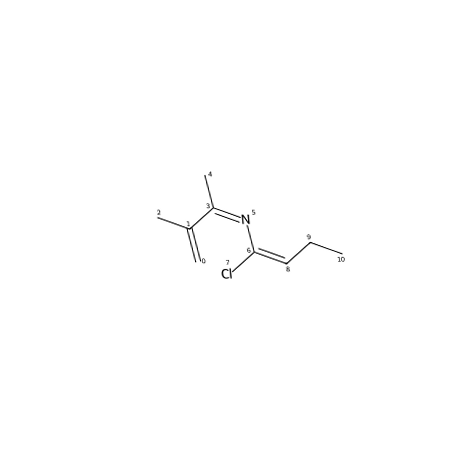 C=C(C)/C(C)=N\C(Cl)=C/CC